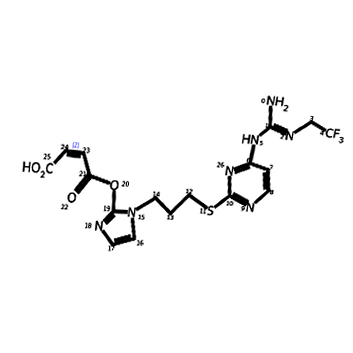 NC(=NCC(F)(F)F)Nc1ccnc(SCCCn2ccnc2OC(=O)/C=C\C(=O)O)n1